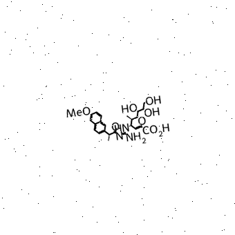 COc1ccc2cc([C@H](C)C(=O)/N=C(/N)N[C@H]3C=C(C(=O)O)O[C@@H]([C@H](O)[C@H](O)CO)[C@@H]3C)ccc2c1